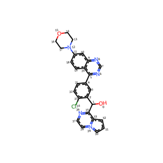 OC(c1cc(-c2ncnc3cc(N4CCOCC4)ccc23)ccc1Cl)c1nccn2cccc12